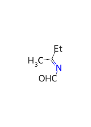 CCC(C)=NC=O